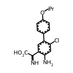 CC(C)Oc1ccc(-c2cc(C(=N)C(=O)O)c(N)cc2Cl)cc1